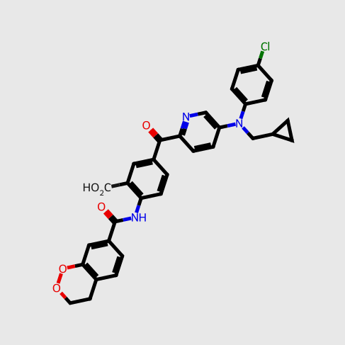 O=C(Nc1ccc(C(=O)c2ccc(N(CC3CC3)c3ccc(Cl)cc3)cn2)cc1C(=O)O)c1ccc2c(c1)OOCC2